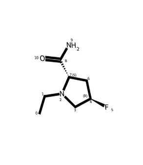 CCN1C[C@H](F)C[C@H]1C(N)=O